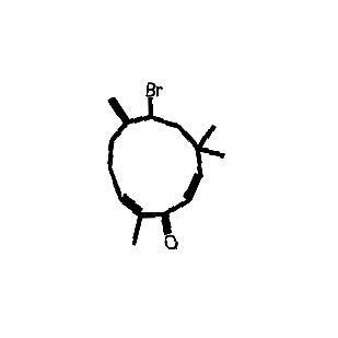 C=C1CCC=C(C)C(=O)C=CC(C)(C)CC1Br